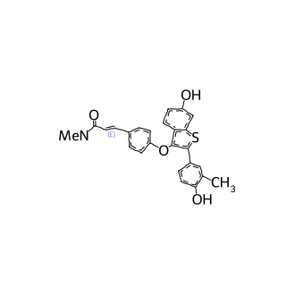 CNC(=O)/C=C/c1ccc(Oc2c(-c3ccc(O)c(C)c3)sc3cc(O)ccc23)cc1